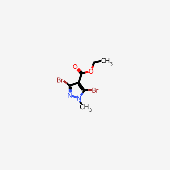 CCOC(=O)c1c(Br)nn(C)c1Br